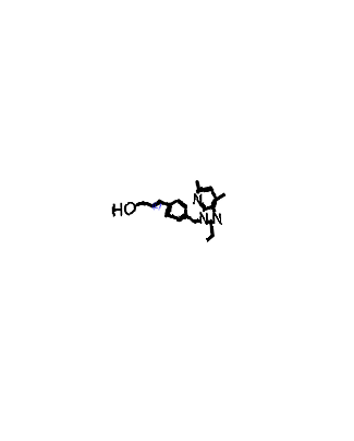 CCc1nc2c(C)cc(C)nc2n1Cc1ccc(/C=C/CO)cc1